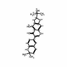 CC1(C)C=Cc2cc(-c3coc4cc5c(c(O)c4c3=O)CC(C(C)(C)O)O5)ccc2O1